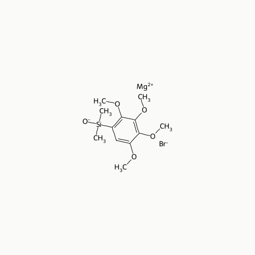 COc1cc([Si](C)(C)[O-])c(OC)c(OC)c1OC.[Br-].[Mg+2]